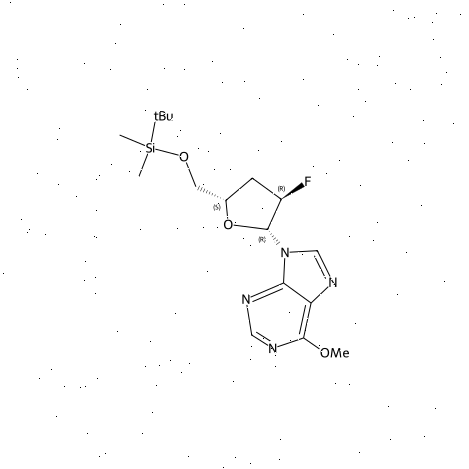 COc1ncnc2c1ncn2[C@@H]1O[C@H](CO[Si](C)(C)C(C)(C)C)C[C@H]1F